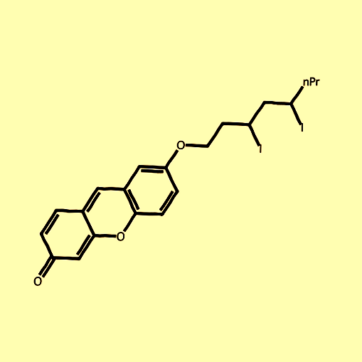 CCCC(I)CC(I)CCOc1ccc2oc3cc(=O)ccc-3cc2c1